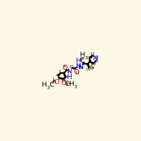 CCOc1ccc(C(=O)NCC(=O)N/N=C(\C)c2csc3cnccc23)cc1OC